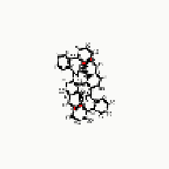 CCN(c1ccccc1-c1ccccc1)c1ccc2ccccc2c1-c1c(N(CC)c2ccccc2-c2ccccc2)ccc2ccccc12